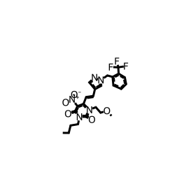 CCCCn1c(=O)c([N+](=O)[O-])c(/C=C/c2cnn(Cc3ccccc3C(F)(F)F)c2)n(CCOC)c1=O